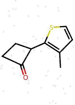 Cc1ccsc1C1CCC1=O